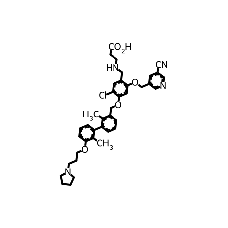 Cc1c(COc2cc(OCc3cncc(C#N)c3)c(CNCCC(=O)O)cc2Cl)cccc1-c1cccc(OCCCN2CCCC2)c1C